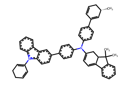 C[C@@H]1C=C(c2ccc(N(C3=CC=C4c5ccccc5C(C)(C)C4C3)c3ccc(-c4ccc5c(c4)c4ccccc4n5C4=CCCC=C4)cc3)cc2)C=CC1